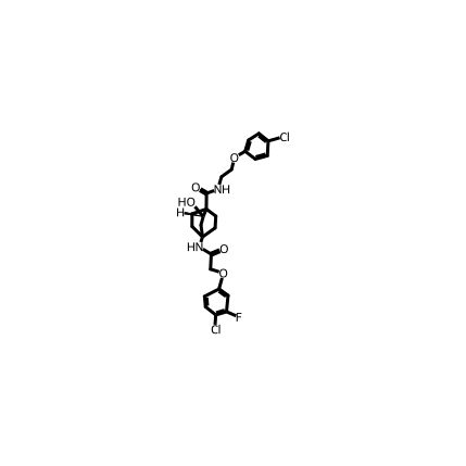 O=C(COc1ccc(Cl)c(F)c1)NC12CCC(C(=O)NCCOc3ccc(Cl)cc3)(CC1)[C@@H](O)C2